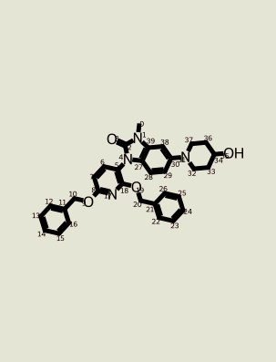 Cn1c(=O)n(-c2ccc(OCc3ccccc3)nc2OCc2ccccc2)c2ccc(N3CCC(O)CC3)cc21